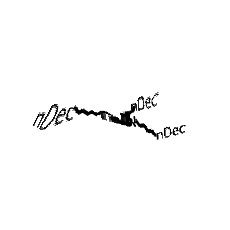 CCCCCCCCCCCCCCCCCN1C=CN(CCCCCCCCCCCCCCCC)C1CCCCCCCCCCCC